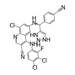 N#Cc1ccc([C@H](Nc2cc(Cl)c3ncc(C#N)c(Nc4ccc(Cl)c(Cl)c4F)c3c2)C2=CNNN2)cc1